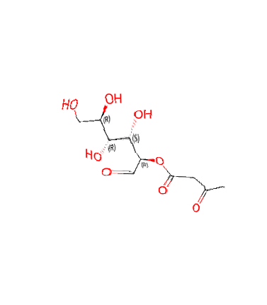 CC(=O)CC(=O)O[C@@H](C=O)[C@@H](O)[C@H](O)[C@H](O)CO